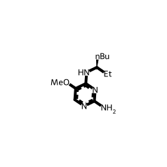 CCCC[C@@H](CC)Nc1nc(N)ncc1OC